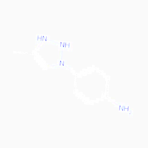 CC1=CN(c2ccc(N)cc2)NN1